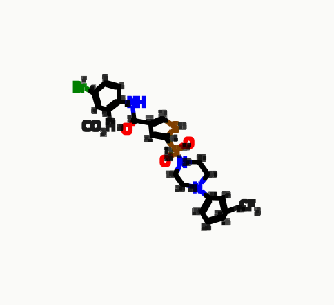 O=C(Nc1ccc(Br)cc1C(=O)O)c1csc(S(=O)(=O)N2CCN(c3cccc(C(F)(F)F)c3)CC2)c1